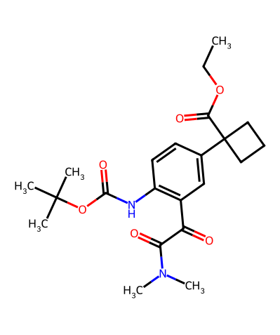 CCOC(=O)C1(c2ccc(NC(=O)OC(C)(C)C)c(C(=O)C(=O)N(C)C)c2)CCC1